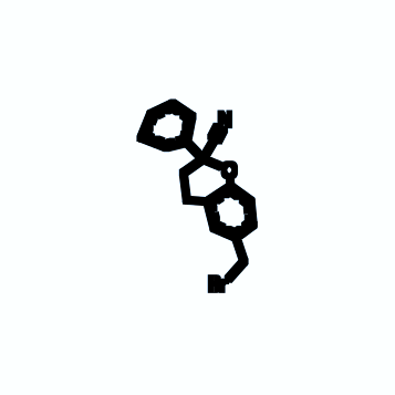 N#CC1(c2ccccc2)CCc2cc(CBr)ccc2O1